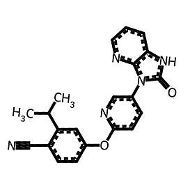 CC(C)c1cc(Oc2ccc(-n3c(=O)[nH]c4cccnc43)cn2)ccc1C#N